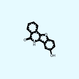 O=c1[nH]c2c3cc(O)ccc3oc2c2ccccc12